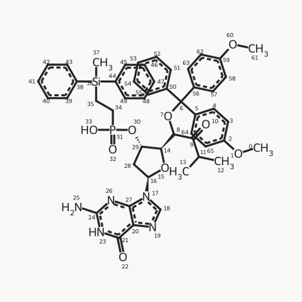 COc1ccc(C(OC(C(=O)C(C)C)[C@H]2O[C@@H](n3cnc4c(=O)[nH]c(N)nc43)C[C@@H]2OP(=O)(O)CC[Si](C)(c2ccccc2)c2ccccc2)(c2ccccc2)c2ccc(OC)cc2)cc1